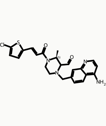 C[C@H]1C(C=O)N(Cc2ccc3c(N)ccnc3c2)CCN1C(=O)C=Cc1ccc(Cl)s1